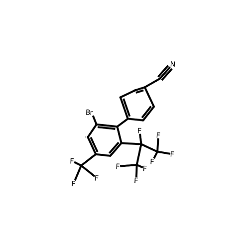 N#Cc1ccc(-c2c(Br)[c]c(C(F)(F)F)cc2C(F)(C(F)(F)F)C(F)(F)F)cc1